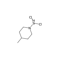 CC1CCN([SiH](Cl)Cl)CC1